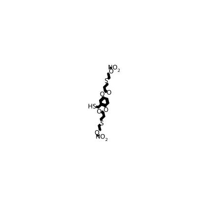 O=C(CCSCCO[N+](=O)[O-])Oc1ccc(OC(=O)CCSCCO[N+](=O)[O-])c(CS)c1